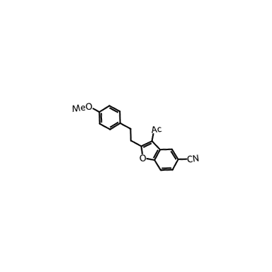 COc1ccc(CCc2oc3ccc(C#N)cc3c2C(C)=O)cc1